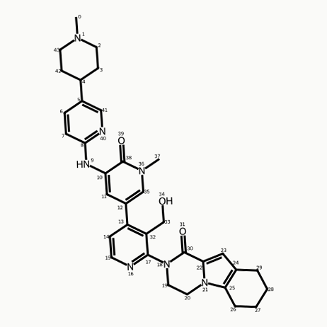 CN1CCC(c2ccc(Nc3cc(-c4ccnc(N5CCn6c(cc7c6CCCC7)C5=O)c4CO)cn(C)c3=O)nc2)CC1